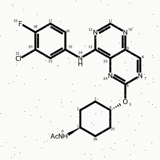 CC(=O)N[C@H]1CC[C@H](Oc2ncc3ncnc(Nc4ccc(F)c(Cl)c4)c3n2)CC1